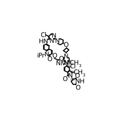 CNC(=O)COc1cc2cc(Nc3nc(N4CCC(O[C@H]5C[C@H](N6CCN(c7ccc8c(c7Cl)[C@@H](C)N([C@H]7CCC(=O)NC7=O)C8=O)[C@H](C)C6)C5)CC4)ncc3Cl)ccc2n(C(C)C)c1=O